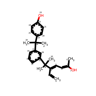 C=C/C(=C\C=C(/C)O)C(C)(C)c1cccc(C(C)(C)c2ccc(O)cc2)c1